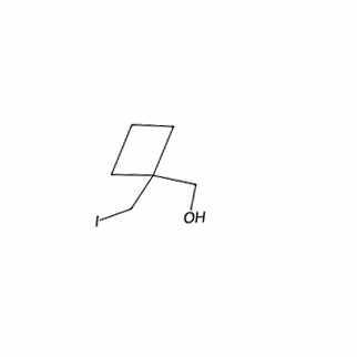 OCC1(CI)CCC1